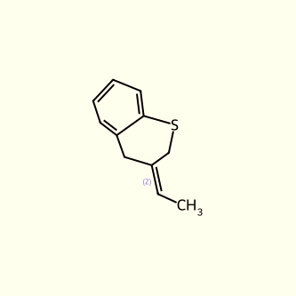 C/C=C1\CSc2ccccc2C1